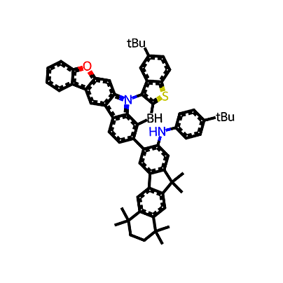 CC(C)(C)c1ccc(Nc2cc3c(cc2-c2ccc4c5cc6c(cc5n5c4c2Bc2sc4ccc(C(C)(C)C)cc4c2-5)oc2ccccc26)-c2cc4c(cc2C3(C)C)C(C)(C)CCC4(C)C)cc1